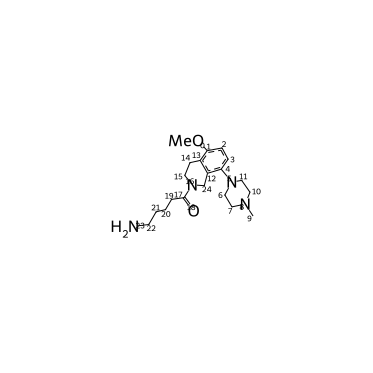 COc1ccc(N2CCN(C)CC2)c2c1CCN(C(=O)CCCCN)C2